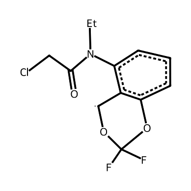 CCN(C(=O)CCl)c1cccc2c1[CH]OC(F)(F)O2